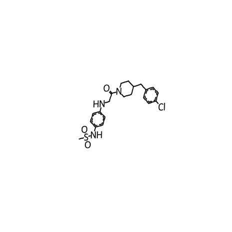 CS(=O)(=O)Nc1ccc(NCC(=O)N2CCC(Cc3ccc(Cl)cc3)CC2)cc1